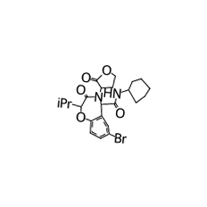 CC(C)C1Oc2ccc(Br)cc2C(C(=O)NC2CCCCC2)N(C2CCOC2=O)C1=O